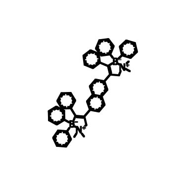 C[N+]1(C)CC(c2ccc3cc(C4=C(c5ccccc5)[B-](c5ccccc5)(c5ccccc5)[N+](C)(C)C4)ccc3c2)=C(c2ccccc2)[B-]1(c1ccccc1)c1ccccc1